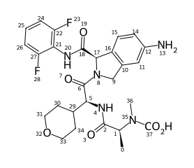 C[C@@H](C(=O)N[C@H](C(=O)N1Cc2cc(N)ccc2[C@@H]1C(=O)Nc1c(F)cccc1F)C1CCOCC1)N(C)C(=O)O